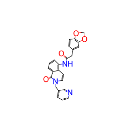 O=C(Cc1ccc2c(c1)OCO2)Nc1cccc2c(=O)n(Cc3cccnc3)ccc12